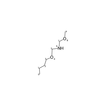 CCCCOCNCOC